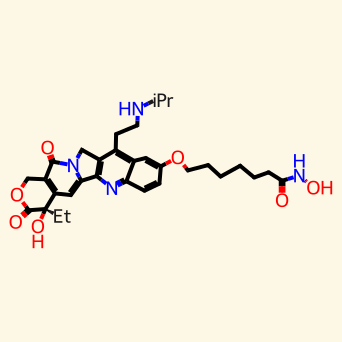 CC[C@@]1(O)C(=O)OCc2c1cc1n(c2=O)Cc2c-1nc1ccc(OCCCCCCC(=O)NO)cc1c2CCNC(C)C